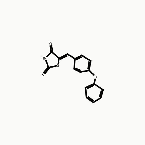 O=C1NC(=S)S/C1=C\c1ccc(Oc2ccccc2)cc1